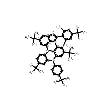 Cc1cc(C(C)(C)C)cc(C)c1-c1nc2cc(C(C)(C)C)cc3c2n1-c1cc(C(C)(C)C)cc2c1B3c1ccc(C(C)(C)C)cc1N2c1ccc(C(C)(C)C)cc1